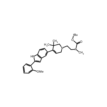 COc1ccccc1-c1cc2cc(C3=CCN(CCN(C)C(=O)OC(C)(C)C)CC3(C)C)ccc2[nH]1